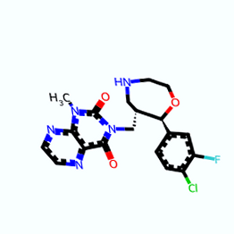 Cn1c(=O)n(C[C@@H]2CNCCO[C@H]2c2ccc(Cl)c(F)c2)c(=O)c2nccnc21